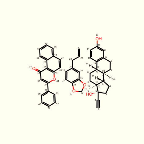 C#C[C@]1(O)CC[C@H]2[C@@H]3CCc4cc(O)ccc4[C@H]3CC[C@@]21C.C=CCc1ccc2c(c1)OCO2.O=c1cc(-c2ccccc2)oc2ccc3ccccc3c12